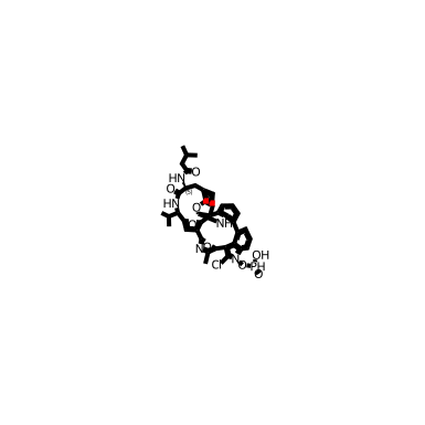 Cc1nc2oc1-c1c(Cl)n(O[PH](=O)O)c3cccc(c13)-c1cccc3c1NC1Oc4ccc5cc4C31c1oc(cc1-2)C(C(C)C)NC(=O)[C@@H](NC(=O)CC(C)C)C5